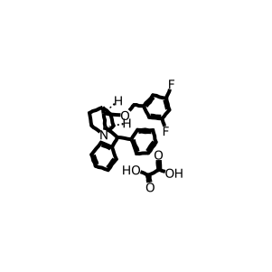 Fc1cc(F)cc(CO[C@@H]2C3CCN(CC3)[C@@H]2C(c2ccccc2)c2ccccc2)c1.O=C(O)C(=O)O